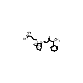 CCC[C@H](O)CCC[C@@H]1[C@H](C=CC(=O)C(C)c2ccccc2)C2CC[C@H]1O2